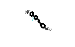 CCCCC1CCC(CCc2ccc(-c3ccc(C#N)cc3)c(F)c2)CC1